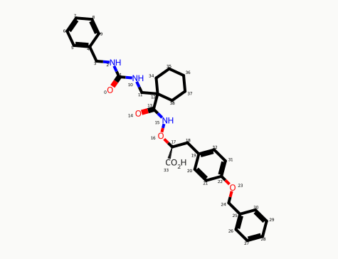 O=C(NCc1ccccc1)NCC1(C(=O)NO[C@@H](Cc2ccc(OCc3ccccc3)cc2)C(=O)O)CCCCC1